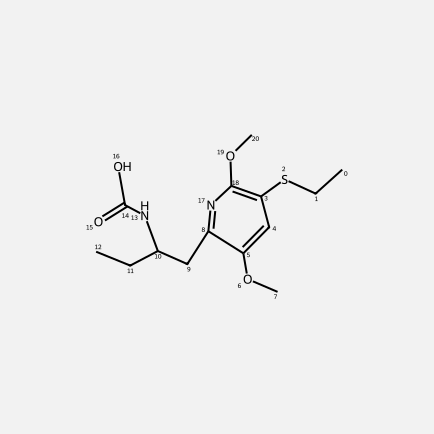 CCSc1cc(OC)c(CC(CC)NC(=O)O)nc1OC